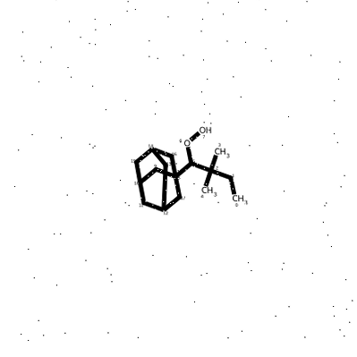 CCC(C)(C)C(OO)C12CC3CC(CC(C3)C1)C2